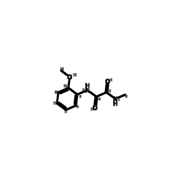 CNC(=O)C(=O)Nc1ccccc1OC